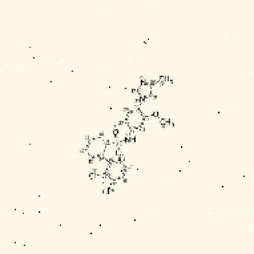 COc1cc(NS(=O)(=O)C2CC=CC=C2c2cccc(Cl)c2Cl)ccc1-n1cnc(C)c1